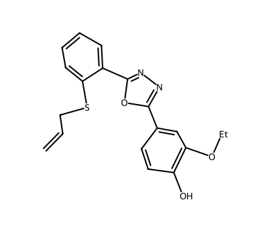 C=CCSc1ccccc1-c1nnc(-c2ccc(O)c(OCC)c2)o1